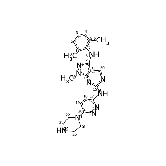 Cc1cccc(C)c1Nc1nn(C)c2nc(Nc3ccc(N4CCNCC4)nn3)ncc12